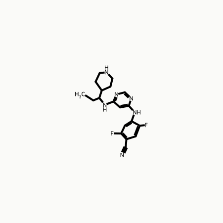 CCC(Nc1cc(Nc2cc(F)c(C#N)cc2F)ncn1)C1CCNCC1